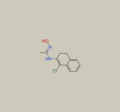 CC(=NO)NC1=C(Cl)c2ccccc2CC1